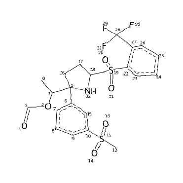 CC(OC=O)C1(c2cccc(S(C)(=O)=O)c2)CCC(S(=O)(=O)c2ccccc2C(F)(F)F)N1